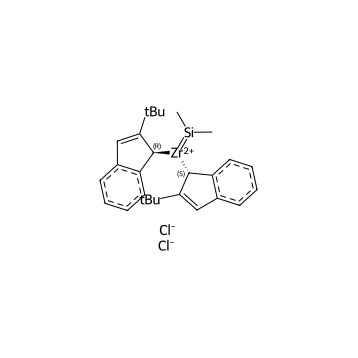 C[Si](C)=[Zr+2]([C@@H]1C(C(C)(C)C)=Cc2ccccc21)[C@H]1C(C(C)(C)C)=Cc2ccccc21.[Cl-].[Cl-]